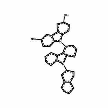 CC(C)(C)c1ccc2c(c1)c1cc(C(C)(C)C)ccc1n2-c1cccc2c1c1ccccc1n2-c1ccc2ccccc2c1